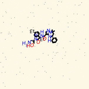 CCc1ccc(C(CC)(NC(=O)c2cnn3c2N[C@@H](c2ccccc2)CC3(C)C)C(=O)N[C@H](CN)CO)cc1